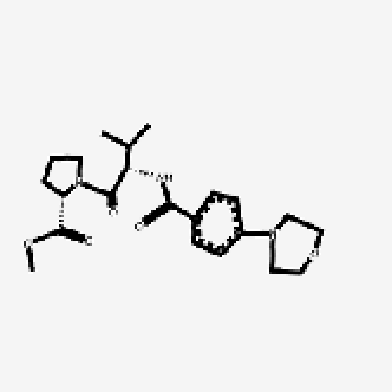 COC(=O)[C@@H]1CCCN1C(=O)[C@@H](NC(=O)c1ccc(N2CCOCC2)cc1)C(C)C